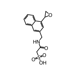 O=C(CS(=O)(=O)O)NCc1cc(C2CO2)c2ccccc2c1